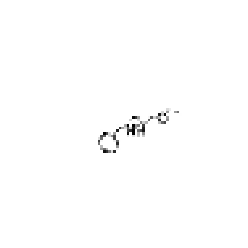 CCOCCONCc1ccccc1